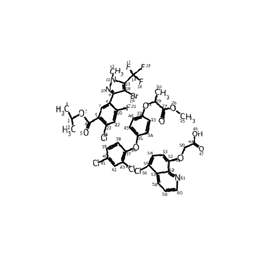 CC(C)OC(=O)c1cc(-c2nn(C)c(C(F)(F)F)c2Br)c(F)cc1Cl.COC(=O)C(C)Oc1ccc(Oc2ccc(Cl)cc2Cl)cc1.O=C(O)COc1ccc(Cl)c2cccnc12